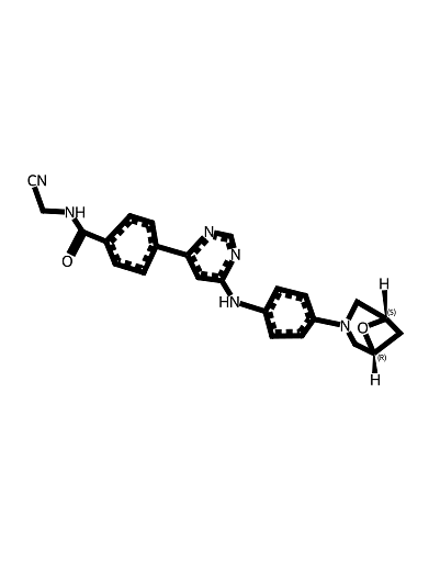 N#CCNC(=O)c1ccc(-c2cc(Nc3ccc(N4C[C@H]5C[C@@H](C4)O5)cc3)ncn2)cc1